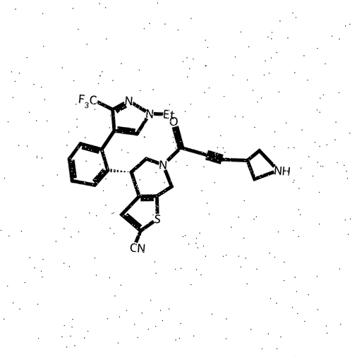 CCn1cc(-c2ccccc2[C@@H]2CN(C(=O)C#CC3CNC3)Cc3sc(C#N)cc32)c(C(F)(F)F)n1